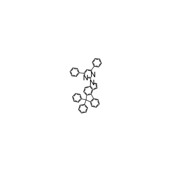 c1ccc(-c2cc(-c3ccccc3)nc(-n3ccc4c5c(ccc43)C(c3ccccc3)(c3ccccc3)c3ccccc3-5)n2)cc1